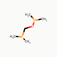 CP(C)COP(C)C